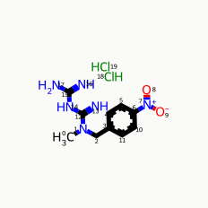 CN(Cc1ccc([N+](=O)[O-])cc1)C(=N)NC(=N)N.Cl.Cl